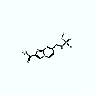 CCOP(=O)(O)NCc1ccn2cc(C(N)=O)nc2n1